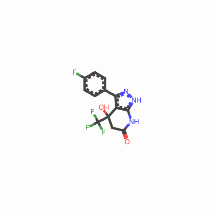 O=C1CC(O)(C(F)(F)F)c2c(-c3ccc(F)cc3)n[nH]c2N1